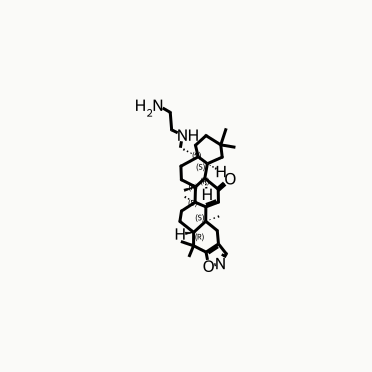 CC1(C)CC[C@]2(CNCCN)CC[C@]3(C)[C@H](C(=O)C=C4[C@@]5(C)Cc6cnoc6C(C)(C)[C@@H]5CC[C@]43C)[C@@H]2C1